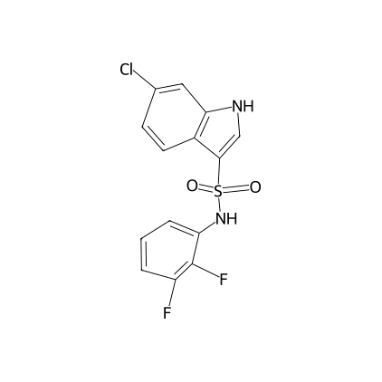 O=S(=O)(Nc1cccc(F)c1F)c1c[nH]c2cc(Cl)ccc12